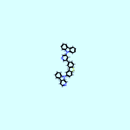 c1ccc2c(c1)c1ccccc1n2-c1cncc(-c2ccc3sc4ccc(-n5c6ccccc6c6ccncc65)cc4c3c2)c1